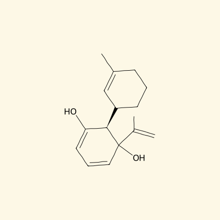 C=C(C)C1(O)C=CC=C(O)[C@H]1C1C=C(C)CCC1